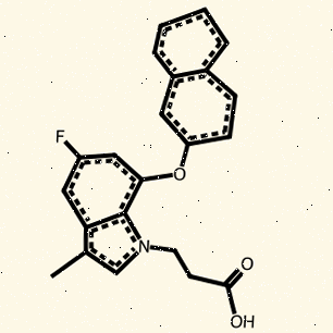 Cc1cn(CCC(=O)O)c2c(Oc3ccc4ccccc4c3)cc(F)cc12